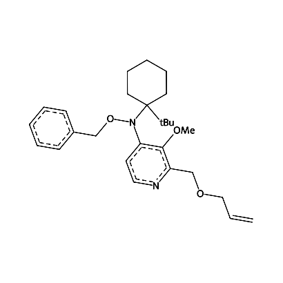 C=CCOCc1nccc(N(OCc2ccccc2)C2(C(C)(C)C)CCCCC2)c1OC